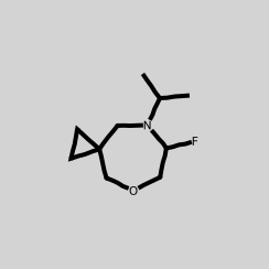 CC(C)N1CC2(CC2)COCC1F